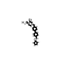 CCC1CN(Cc2ccc(-c3ccc(COC4CCCC4)cc3)cc2)CCN1C